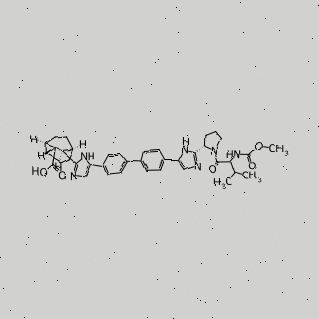 COC(=O)NC(C(=O)N1CCC[C@H]1c1ncc(-c2ccc(-c3ccc(-c4cnc([C@@H]5[C@@H]6CCC[C@@H](CC6)[C@H]5C(=O)O)[nH]4)cc3)cc2)[nH]1)C(C)C